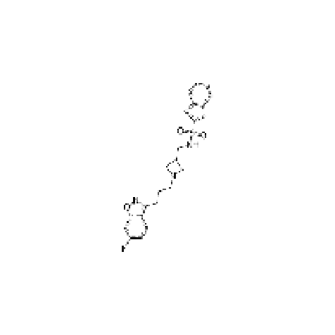 O=S(=O)(NCC1CN(CCCc2noc3cc(F)ccc23)C1)c1cc2ccccc2s1